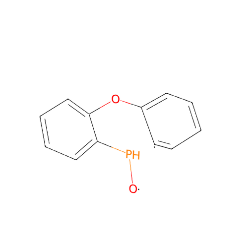 [O]Pc1ccccc1Oc1[c]cccc1